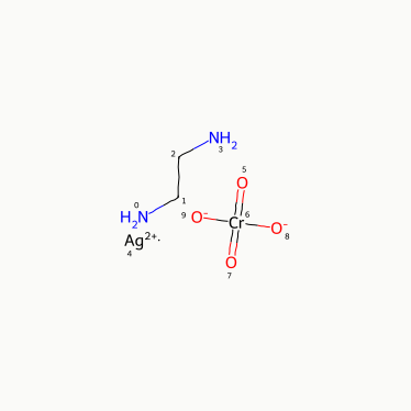 NCCN.[Ag+2].[O]=[Cr](=[O])([O-])[O-]